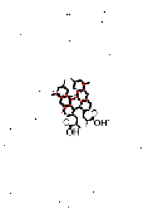 Cc1cc(C)cc(P(c2cc(C)cc(C)c2)c2cccc(CC(C)C(=O)O)c2-c2c(CC(C)C(=O)O)cccc2P(c2cc(C)cc(C)c2)c2cc(C)cc(C)c2)c1